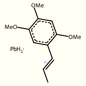 C/C=C/c1cc(OC)c(OC)cc1OC.[PbH2]